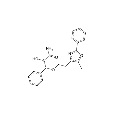 Cc1oc(-c2ccccc2)nc1CCOC(c1ccccc1)N(O)C(N)=O